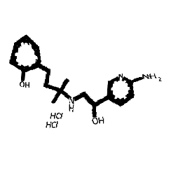 CC(C)(CCc1ccccc1O)NCC(O)c1ccc(N)nc1.Cl.Cl